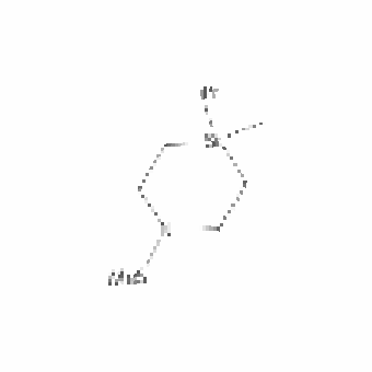 CSN1CC[Si](C)(C(C)C)CC1